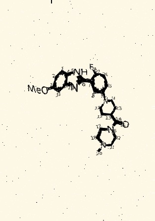 COc1ccc2[nH]c(-c3cc(N4CCC(C(=O)N5CCN(C)CC5)CC4)ccc3F)nc2c1